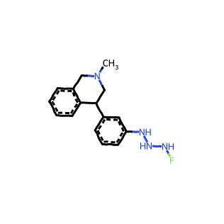 CN1Cc2ccccc2C(c2cccc(NNNF)c2)C1